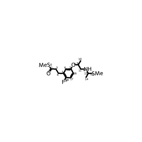 CSC(=O)CCc1cc(OC(C)CNC(C)SC)ccc1F